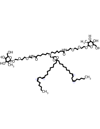 CCCCC/C=C\C/C=C\CCCCCCCCC1(CCCCCCCC/C=C\C/C=C\CCCCC)OC[C@H](CN(CCCCCC(=O)NCCOCCOCCO[C@@H]2OC(CO)[C@H](O)C(O)[C@@H]2C)CCCCCC(=O)NCCOCCOCCO[C@@H]2OC(CO)[C@H](O)C(O)[C@@H]2C)O1